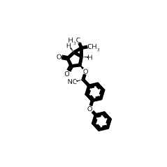 CC1(C)[C@@H]2[C@H]1C(=O)C(=O)[C@@H]2O[C@@H](C#N)c1cccc(Oc2ccccc2)c1